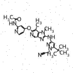 CC(=O)Nc1cc(Oc2ncc3nc(Nc4cc(C(C)(C)C)n(CC#N)n4)n(C)c3c2C)ccn1